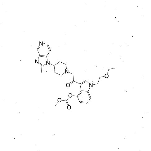 CCOCCn1cc(C(=O)CN2CCC(n3c(C)nc4cnccc43)CC2)c2c(OC(=O)OC)cccc21